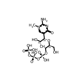 C[C@H](O)[C@@H](O[C@@H](CO)COP(=O)(O)OP(=O)(O)OP(=O)(O)O)c1cn(C)c(N)nc1=O